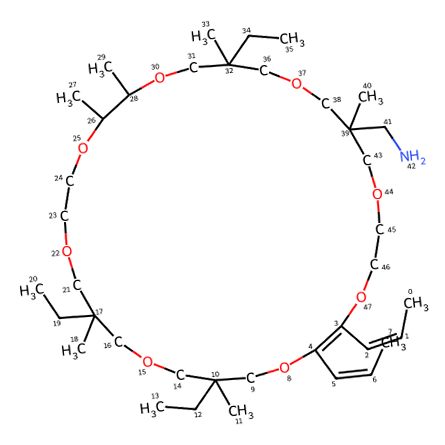 C\C=C/C1=C(\C=C/C)OCC(C)(CC)COCC(C)(CC)COCCOC(C)C(C)OCC(C)(CC)COCC(C)(CN)COCCO1